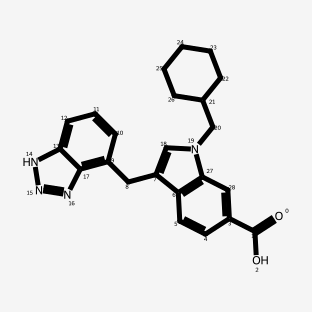 O=C(O)c1ccc2c(Cc3cccc4[nH]nnc34)cn(CC3CCCCC3)c2c1